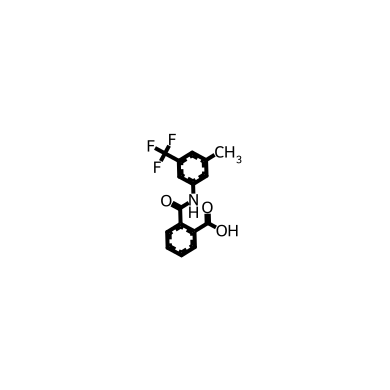 Cc1cc(NC(=O)c2ccccc2C(=O)O)cc(C(F)(F)F)c1